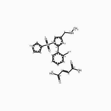 CNCc1cn(S(=O)(=O)c2ccsc2)c(-c2ccccc2F)n1.O=C(O)/C=C/C(=O)O